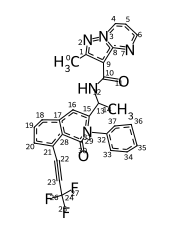 Cc1nn2cccnc2c1C(=O)NC(C)c1cc2cccc(C#CC(F)(F)F)c2c(=O)n1-c1ccccc1